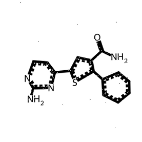 NC(=O)c1cc(-c2ccnc(N)n2)sc1-c1ccccc1